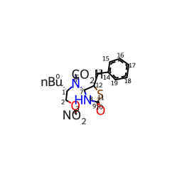 CCCC[C@@H](CO[N+](=O)[O-])N(C(=O)O)[C@H]1NC(=O)SC1Cc1ccccc1